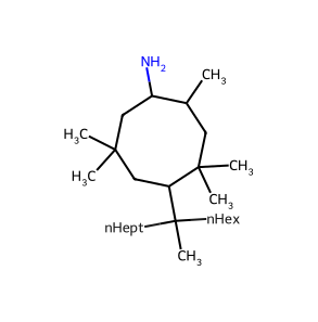 CCCCCCCC(C)(CCCCCC)C1CC(C)(C)CC(N)C(C)CC1(C)C